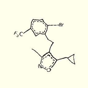 Cc1noc(C2CC2)c1Cc1cc(C(F)(F)F)ccc1Br